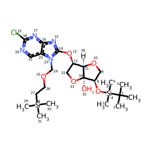 CC(C)(C)[Si](C)(C)O[C@@H]1CO[C@@H]2[C@H](Oc3nc4nc(Cl)ncc4n3COCC[Si](C)(C)C)CO[C@@]21O